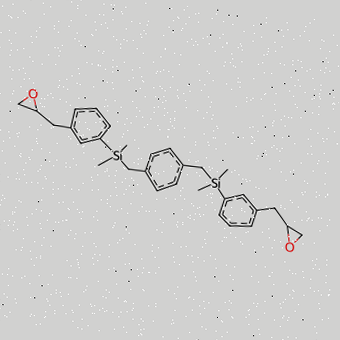 C[Si](C)(Cc1ccc(C[Si](C)(C)c2cccc(CC3CO3)c2)cc1)c1cccc(CC2CO2)c1